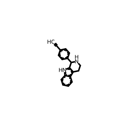 C#Cc1ccc(C2NCCc3c2[nH]c2ccccc32)cc1